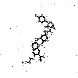 NC(=O)c1cc2c(Oc3ncc(NC(=O)C4(C(=O)Nc5ccc(F)cc5)CC4)cc3Cl)ccnc2cc1OCCO